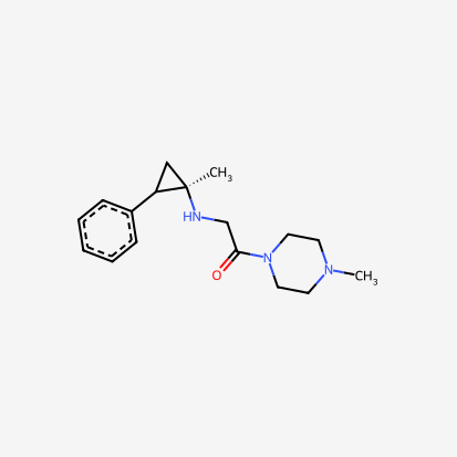 CN1CCN(C(=O)CN[C@]2(C)CC2c2ccccc2)CC1